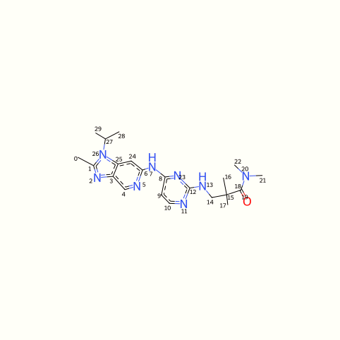 Cc1nc2cnc(Nc3ccnc(NCC(C)(C)C(=O)N(C)C)n3)cc2n1C(C)C